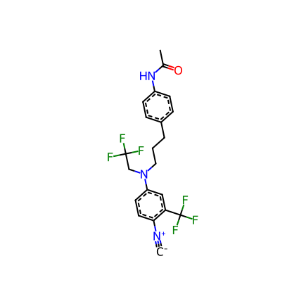 [C-]#[N+]c1ccc(N(CCCc2ccc(NC(C)=O)cc2)CC(F)(F)F)cc1C(F)(F)F